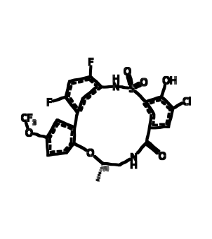 C[C@H]1CNC(=O)c2cc(Cl)c(O)c(c2)S(=O)(=O)Nc2cc(c(F)cc2F)-c2cc(OC(F)(F)F)ccc2O1